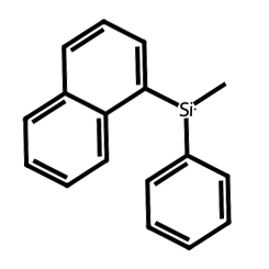 C[Si](c1ccccc1)c1cccc2ccccc12